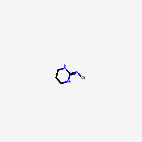 N#CN=C1NC[CH]CN1